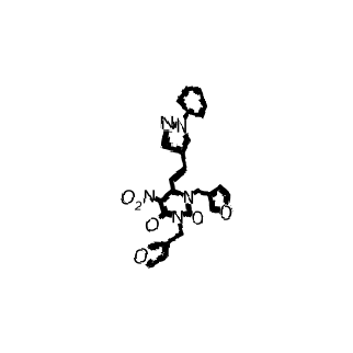 O=c1c([N+](=O)[O-])c(C=Cc2cnn(-c3ccccc3)c2)n(Cc2ccoc2)c(=O)n1Cc1ccoc1